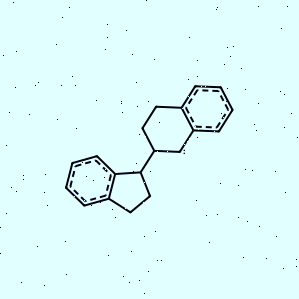 [C]1c2ccccc2CCC1C1CCc2ccccc21